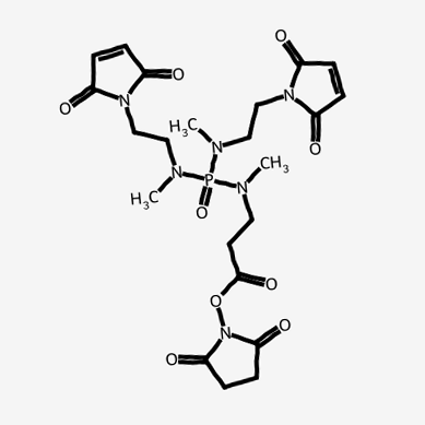 CN(CCC(=O)ON1C(=O)CCC1=O)P(=O)(N(C)CCN1C(=O)C=CC1=O)N(C)CCN1C(=O)C=CC1=O